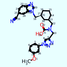 COc1cccc(-n2cc(CN(CC3CCC[C@H](Cn4cnc5ccc(C#N)cc54)C3)C(=O)O)nn2)c1